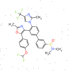 Cc1nc(-c2cc(-c3cccc([S+]([O-])N(C)C)c3)ccc2-n2cc(C(F)(F)F)nc2C)c(-c2ccc(OC(F)F)cc2)o1